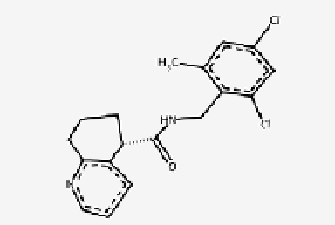 Cc1cc(Cl)cc(Cl)c1CNC(=O)[C@H]1CCCc2ncccc21